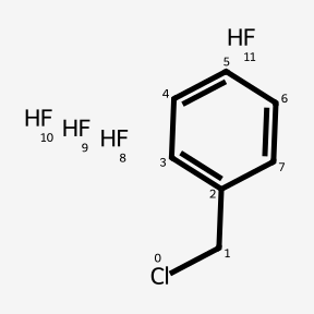 ClCc1ccccc1.F.F.F.F